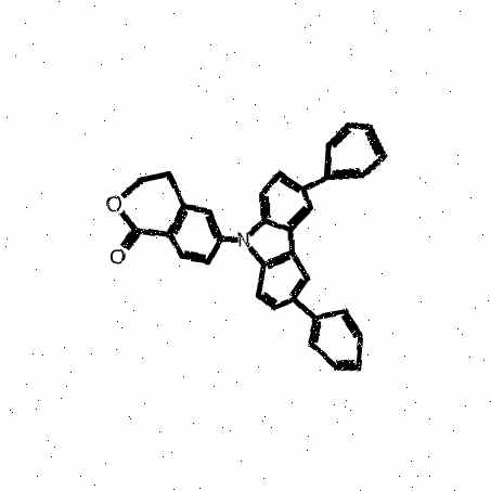 O=C1OCCc2cc(-n3c4ccc(-c5ccccc5)cc4c4cc(-c5ccccc5)ccc43)ccc21